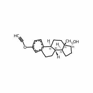 C#COc1ccc2c(c1)CC[C@@H]1[C@@H]2CC[C@]2(C)[C@H](O)CC[C@@H]12